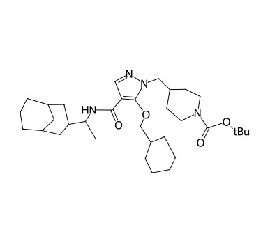 CC(NC(=O)c1cnn(CC2CCN(C(=O)OC(C)(C)C)CC2)c1OCC1CCCCC1)C1CC2CCCC(C2)C1